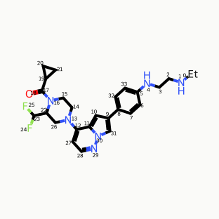 CCNCCNc1ccc(-c2cc3c(N4CCN(C(=O)C5CC5)C(C(F)F)C4)ccnn3c2)cc1